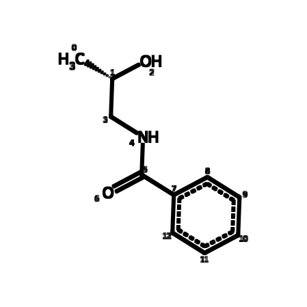 C[C@H](O)CNC(=O)c1ccccc1